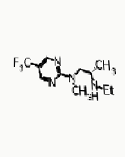 CCN[C@@H](C)CN(C)c1ncc(C(F)(F)F)cn1